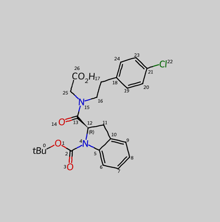 CC(C)(C)OC(=O)N1c2ccccc2C[C@@H]1C(=O)N(CCc1ccc(Cl)cc1)CC(=O)O